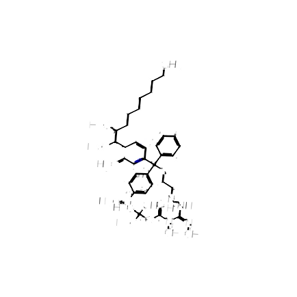 C=C/C=C(\C=C/CC(C)C(C)CCCCCCCC)C(SCCNN/C(=N/C)N(C)C(=O)OC(C)(C)C)(c1ccccc1)c1ccc(OC)cc1